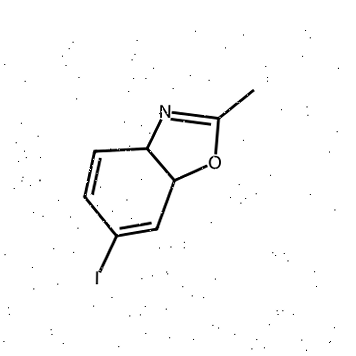 CC1=NC2C=CC(I)=CC2O1